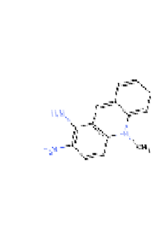 CN1C2=CCC=CC2=Cc2c1ccc(N)c2N